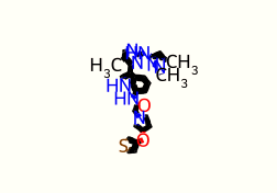 Cc1cnc(Nc2cc(C)n(C)n2)nc1-c1c[nH]c2c(NC(=O)CN3CCC(Oc4ccsc4)C3)cccc12